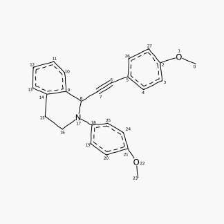 COc1ccc(C#CC2c3ccccc3CCN2c2ccc(OC)cc2)cc1